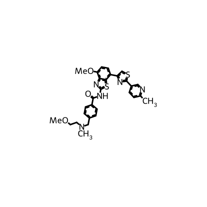 COCCN(C)Cc1ccc(C(=O)Nc2nc3c(OC)ccc(-c4csc(-c5ccc(C)nc5)n4)c3s2)cc1